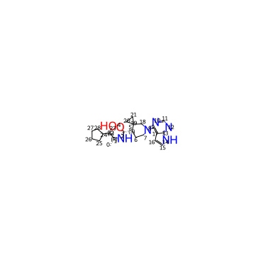 C[C@@H](NC(=O)[C@H]1CCN(c2ncnc3[nH]ccc23)CC12CC2)[C@@H](O)C1CCCC1